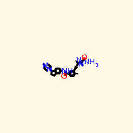 Cc1ccc(C(=O)Nc2ccc3c(c2)CCC3N2CCN(C)CC2)cc1C#Cc1cnc(C(N)=O)n1C